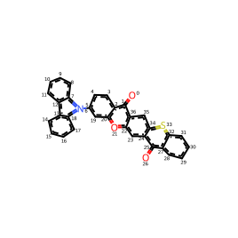 O=c1c2ccc(-n3c4ccccc4c4ccccc43)cc2oc2cc3c(=O)c4ccccc4sc3cc12